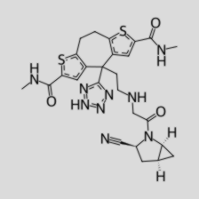 CNC(=O)c1cc2c(s1)CCc1sc(C(=O)NC)cc1C2(CCNCC(=O)N1[C@H](C#N)C[C@@H]2C[C@@H]21)c1nn[nH]n1